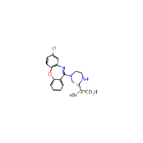 CCCC[C@@H](C(=O)O)[C@@H]1CN(C2=Nc3cc(Cl)ccc3Oc3ccccc32)CCN1